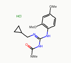 CNC(=O)NC(=NCC1CC1)Nc1ccc(OC)cc1OC.Cl